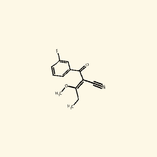 CCC(OC)=C(C#N)C(=O)c1cccc(F)c1